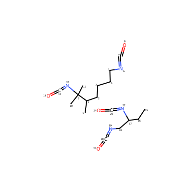 CC(CCCCN=C=O)C(C)(C)N=C=O.CCC(CN=C=O)N=C=O